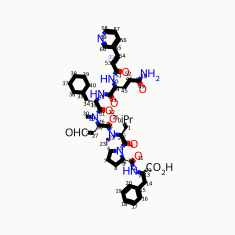 CC(C)C[C@@H](C(=O)N1CCC[C@H]1C(=O)N[C@H](Cc1ccccc1)C(=O)O)N(I)C(=O)[C@H](CC=O)N(C)C(=O)[C@H](CC1CCCCC1)NC(=O)[C@H](CCC(N)=O)NC(=O)/C=C/c1cccnc1